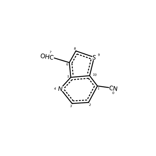 N#Cc1ccnc2c(C=O)csc12